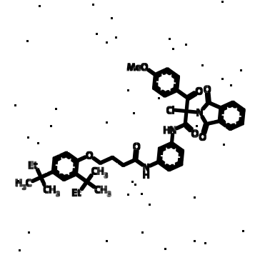 CCC(C)(C)c1ccc(OCCCC(=O)Nc2cccc(NC(=O)C(Cl)(C(=O)c3ccc(OC)cc3)N3C(=O)c4ccccc4C3=O)c2)c(C(C)(C)CC)c1